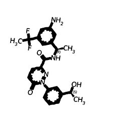 C[C@H](O)c1cccc(-n2nc(C(=O)N[C@H](C)c3cc(N)cc(C(C)(F)F)c3)ccc2=O)c1